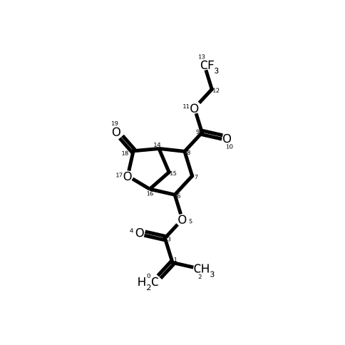 C=C(C)C(=O)OC1CC(C(=O)OCC(F)(F)F)C2CC1OC2=O